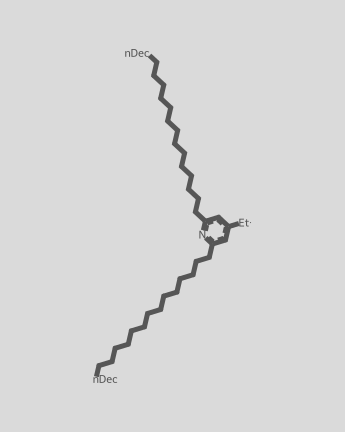 C[CH]c1cc(CCCCCCCCCCCCCCCCCCCCCCCC)nc(CCCCCCCCCCCCCCCCCCCCCCCC)c1